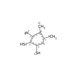 Cc1cc(S)c(S)c(C(C)C)c1C